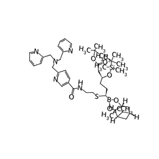 CC(C)(C)OC(=O)C[C@H](CC[C@H](SCCNC(=O)c1ccc(CN(Cc2ccccn2)Cc2ccccn2)nc1)B1O[C@@H]2C[C@@H]3C[C@@H](C3(C)C)[C@]2(C)O1)O[Si](C)(C)C(C)(C)C